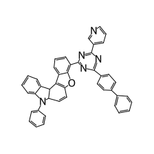 C1=CC2C(c3ccccc3N2c2ccccc2)c2c1oc1c(-c3nc(-c4ccc(-c5ccccc5)cc4)nc(-c4cccnc4)n3)cccc21